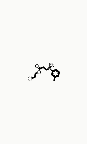 CCN(CCC(=O)OCCCl)c1cccc(C)c1